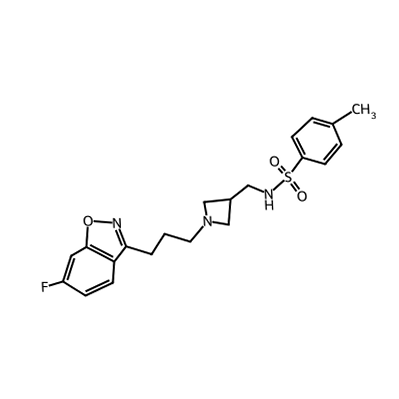 Cc1ccc(S(=O)(=O)NCC2CN(CCCc3noc4cc(F)ccc34)C2)cc1